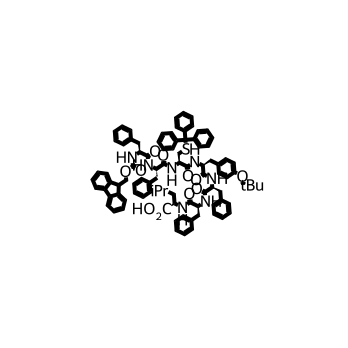 CC(C)C[C@H](NC(=O)[C@H](Cc1ccccc1)NC(=O)[C@H](Cc1ccccc1)NC(=O)[C@H](Cc1ccc(OC(C)(C)C)cc1)NC(=O)[C@H](CSC(c1ccccc1)(c1ccccc1)c1ccccc1)NC(=O)[C@H](Cc1ccccc1)NC(=O)[C@H](Cc1ccccc1)NC(=O)OCC1c2ccccc2-c2ccccc21)C(=O)O